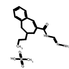 CCCC1CC(C(=O)NC=NN)=Cc2ccccc2C1.CS(=O)(=O)O